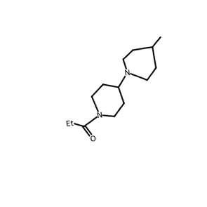 CCC(=O)N1CCC(N2CCC(C)CC2)CC1